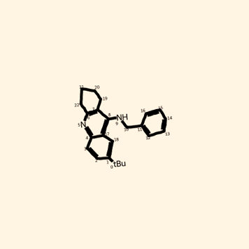 CC(C)(C)c1ccc2nc3c(c(NCc4ccccc4)c2c1)CCCC3